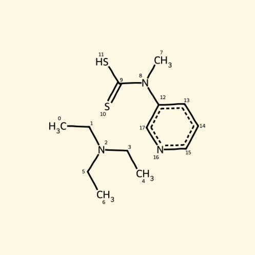 CCN(CC)CC.CN(C(=S)S)c1cccnc1